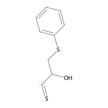 OC([C]=S)CSc1ccccc1